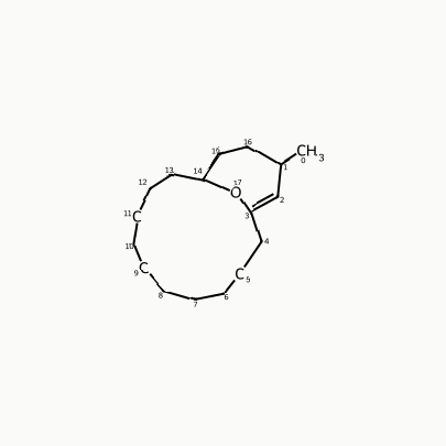 CC1C=C2CCCCCCCCCCC(CC1)O2